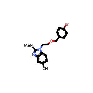 CNc1nc2cc(C#N)ccc2n1CCOCc1ccc(Br)cc1